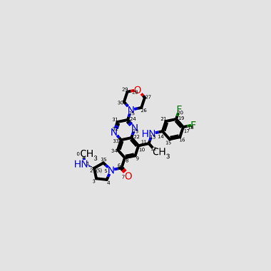 CN[C@H]1CCN(C(=O)c2cc(C(C)Nc3ccc(F)c(F)c3)c3nc(N4CCOCC4)cnc3c2)C1